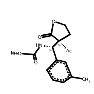 COC(=O)N[C@@H](c1cccc(C)c1)[C@]1(C(C)=O)CCOC1=O